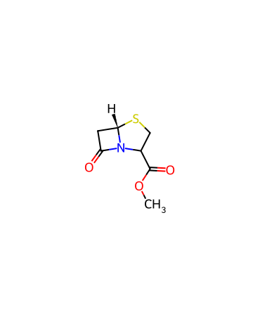 COC(=O)C1CS[C@H]2CC(=O)N12